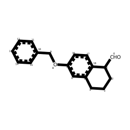 O=CC1CCCc2cc(OCc3ccccc3)ccc21